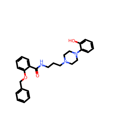 O=C(NCCCN1CCN(c2ccccc2O)CC1)c1ccccc1OCc1ccccc1